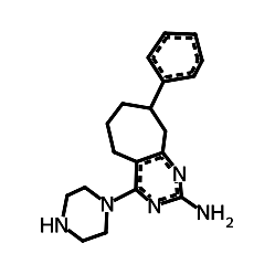 Nc1nc2c(c(N3CCNCC3)n1)CCCC(c1ccccc1)C2